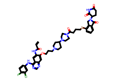 C=CC(=O)Nc1cc2c(Nc3ccc(F)c(Cl)c3)ncnc2cc1OCCCN1CCC(N2CCN(C(=O)CCCSc3cccc4c3CN(C3CCC(=O)NC3=O)C4=O)CC2)CC1